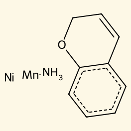 C1=Cc2ccccc2OC1.N.[Mn].[Ni]